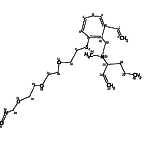 C=CC1=CCC=CC(SCCOCCOCCOCN=O)=C1CN(C)C(C=C)CCC